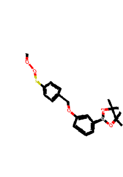 COOSc1ccc(COc2cccc(B3OC(C)(C)C(C)(C)O3)c2)cc1